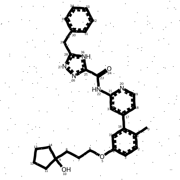 Cc1ccc(OCCCC2(O)CCCC2)cc1-c1ccnc(NC(=O)c2nnc(Cc3ccccc3)[nH]2)c1